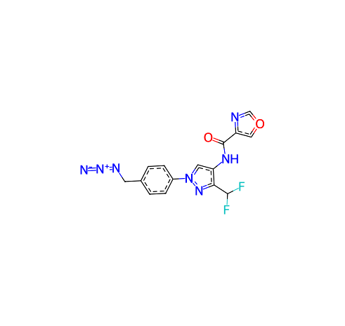 [N-]=[N+]=NCc1ccc(-n2cc(NC(=O)c3cocn3)c(C(F)F)n2)cc1